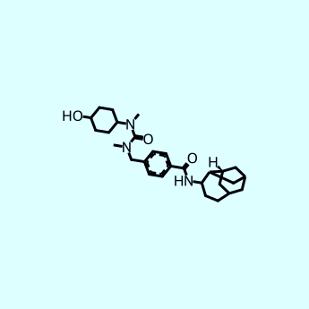 CN(Cc1ccc(C(=O)NC2CCC3CC4CC2[C@@H](C3)C4)cc1)C(=O)N(C)C1CCC(O)CC1